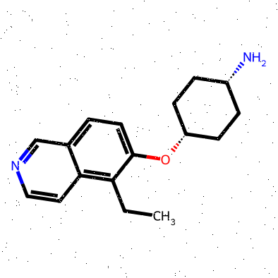 CCc1c(O[C@H]2CC[C@@H](N)CC2)ccc2cnccc12